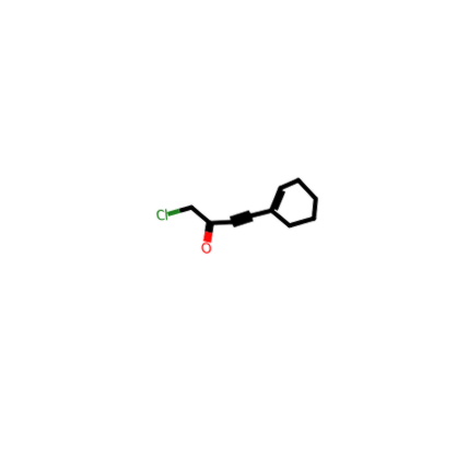 O=C(C#CC1=CCCCC1)CCl